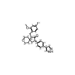 COc1cc(F)ccc1CN1C(=O)N(c2ccc(-c3cn[nH]c3)cc2)CC12CCOCC2